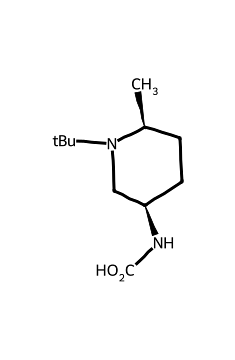 C[C@H]1CC[C@@H](NC(=O)O)CN1C(C)(C)C